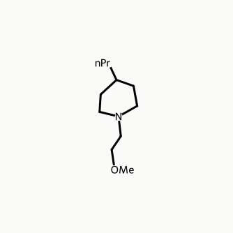 [CH2]CCC1CCN(CCOC)CC1